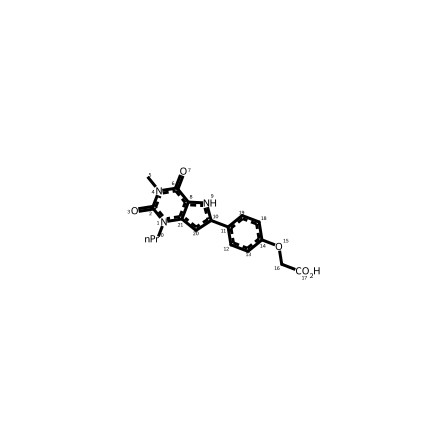 CCCn1c(=O)n(C)c(=O)c2[nH]c(-c3ccc(OCC(=O)O)cc3)cc21